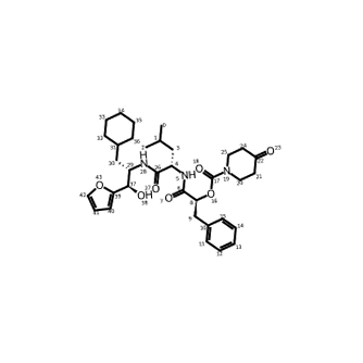 CC(C)C[C@H](NC(=O)[C@H](Cc1ccccc1)OC(=O)N1CCC(=O)CC1)C(=O)N[C@@H](CC1CCCCC1)[C@@H](O)c1ccco1